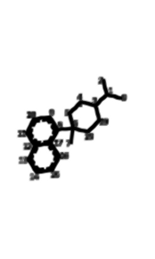 CC(C)C1[CH]CC(C)(c2cccc3ccccc23)CC1